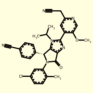 COc1cnc(CC#N)cc1-c1nc2c(n1C(C)C)[C@@H](c1ccc(C#N)cc1)N(c1cc(Cl)ccc1C)C2=O